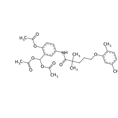 CC(=O)Oc1ccc(NC(=O)C(C)(C)CCCOc2cc(C)ccc2C)cc1C(OC(C)=O)OC(C)=O